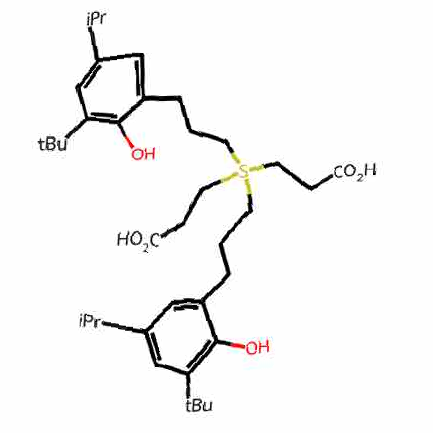 CC(C)c1cc(CCCS(CCCc2cc(C(C)C)cc(C(C)(C)C)c2O)(CCC(=O)O)CCC(=O)O)c(O)c(C(C)(C)C)c1